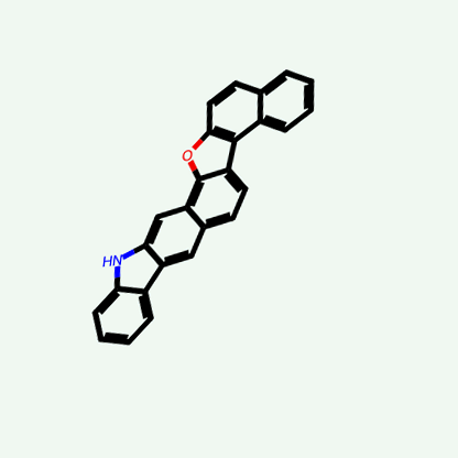 c1ccc2c(c1)ccc1oc3c4cc5[nH]c6ccccc6c5cc4ccc3c12